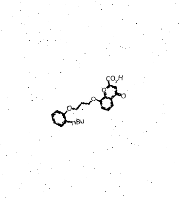 CCCCc1ccccc1OCCCOc1cccc2c(=O)cc(C(=O)O)oc12